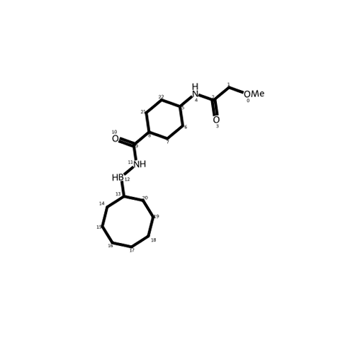 COCC(=O)NC1CCC(C(=O)NBC2CCCCCCC2)CC1